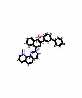 C1=CNC2C(=C1)C=Cc1ccc(-c3cc4c5cc(-c6ccccc6)ccc5oc4c4ccccc34)nc12